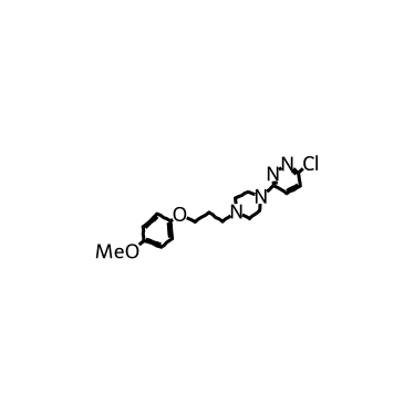 COc1ccc(OCCCN2CCN(c3ccc(Cl)nn3)CC2)cc1